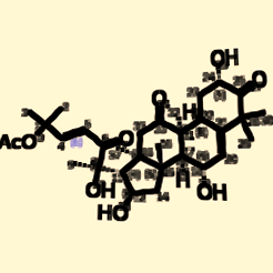 CC(=O)OC(C)(C)/C=C/C(=O)[C@](C)(O)[C@H]1[C@H](O)C[C@@]2(C)[C@@H]3[C@@H](O)C=C4[C@@H](C[C@H](O)C(=O)C4(C)C)[C@]3(C)C(=O)C[C@]12C